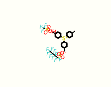 Cc1ccc([S+](c2ccc(C)cc2)c2ccc(C)cc2)cc1.O=S(=O)(O)C(F)(F)F.O=S(=O)([O-])C(F)(F)C(F)(F)C(F)(F)C(F)(F)F